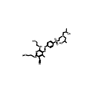 Cc1c(C#N)c(NCCOI)nc(NCCO)c1/N=N/c1ccc(S(=O)(=O)CCN(CC(C)O)CC(C)O)cc1